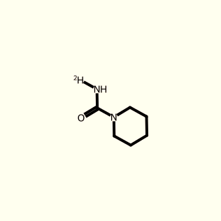 [2H]NC(=O)N1CCCCC1